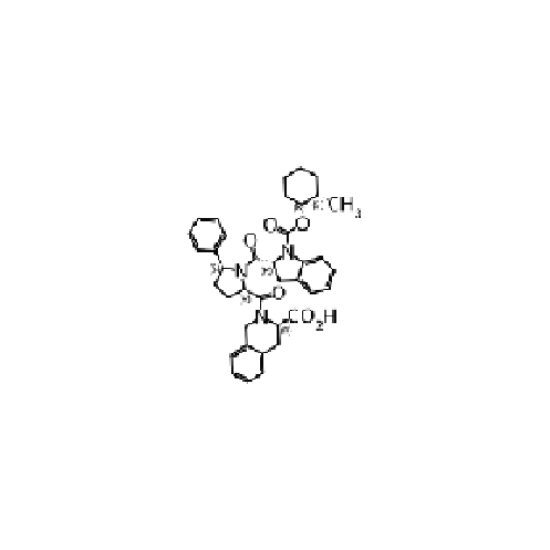 C[C@H]1CCCC[C@H]1OC(=O)N1c2ccccc2C[C@@H]1C(=O)N1[C@@H](C(=O)N2Cc3ccccc3C[C@@H]2C(=O)O)CC[C@H]1c1ccccc1